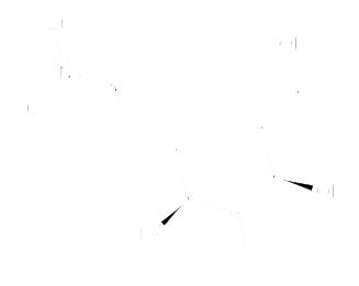 CCN(CC)C(=S)SC1OC(CO)[C@@H](O)C(O)[C@H]1O